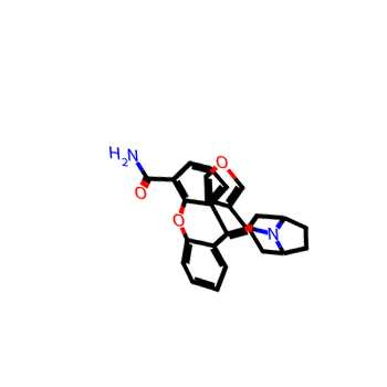 NC(=O)c1cccc2c1Oc1ccccc1C2=C1CC2CCC(C1)N2Cc1ccoc1